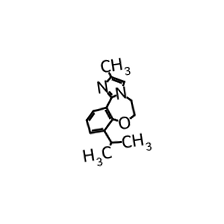 Cc1cn2c(n1)-c1cccc(C(C)C)c1OCC2